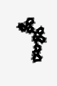 c1ccc(-c2ccccc2N(c2ccc(-c3ccc4c(c3)sc3ccccc34)cc2)c2ccc3c(c2)-c2ccccc2C32C3CC4CC(C3)CC2C4)cc1